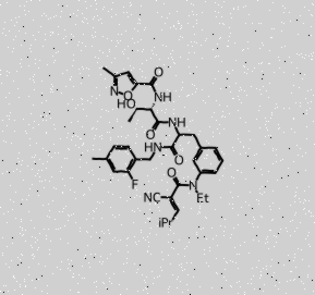 CCN(C(=O)C(C#N)=CC(C)C)c1cccc(CC(NC(=O)[C@@H](NC(=O)c2cc(C)no2)[C@@H](C)O)C(=O)NCc2ccc(C)cc2F)c1